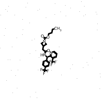 CCCCOC(=O)N1CC(CC(=O)NC(c2ccc(C(F)(F)F)cc2)c2ncccc2C(F)(F)F)C1